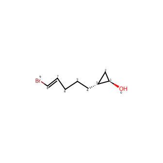 O[C@@H]1C[C@H]1CCC/C=C/Br